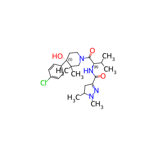 CC(C)[C@@H](NC(=O)C1=NN(C)C(C)C1)C(=O)N1CC[C@](O)(c2ccc(Cl)cc2)C(C)(C)C1